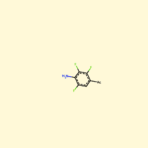 CC(=O)c1cc(F)c(N)c(F)c1F